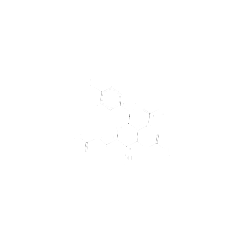 CC(=O)OCC1O[C@@H](Sc2ccc(C)cc2)C(OC(C)=O)C(OC(C)=O)[C@@H]1O